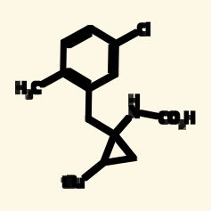 Cc1ccc(Cl)cc1CC1(NC(=O)O)CC1C(C)(C)C